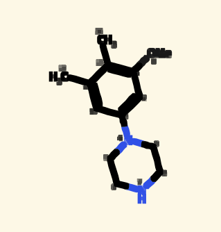 COc1cc(N2CCNCC2)cc(C)c1C